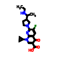 CCNC(C)C1CCN(c2nc3c(cc2F)c(=O)c(C(=O)O)cn3C2CC2)C1